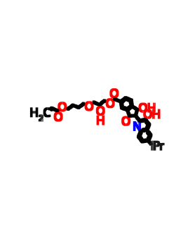 C=CC(=O)OCCCCOCC(O)COC(=O)c1ccc2c(c1)C(=O)C(c1nc3ccc(C(C)C)cc3cc1O)C2O